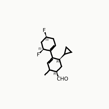 CC1C=C(C2=CC[C@H](F)C[C@@H]2F)[C@@H](C2CC2)C[C@H]1C=O